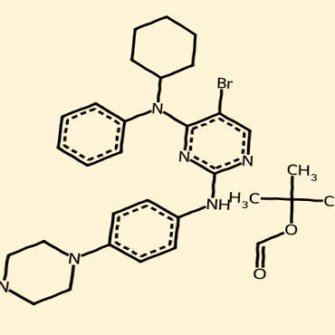 Brc1cnc(Nc2ccc(N3CCNCC3)cc2)nc1N(c1ccccc1)C1CCCCC1.CC(C)(C)OC=O